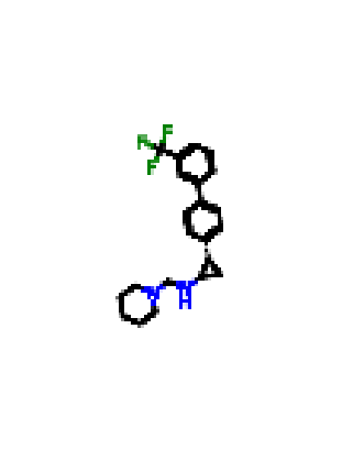 FC(F)(F)c1cccc(-c2ccc([C@@H]3C[C@H]3NCN3CCCCC3)cc2)c1